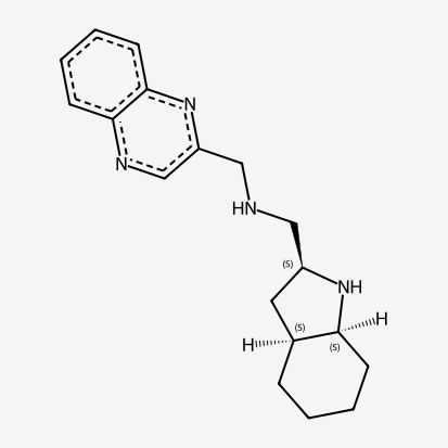 c1ccc2nc(CNC[C@@H]3C[C@@H]4CCCC[C@@H]4N3)cnc2c1